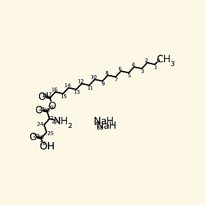 CCCCCCCCCCCCCCCCCC(=O)OC(=O)C(N)CCC(=O)O.[NaH].[NaH]